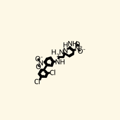 NC1=C([N+](=O)[O-])C=CC(N)(CCNc2ccc([N+](=O)[O-])c(-c3ccc(Cl)cc3Cl)c2)N1